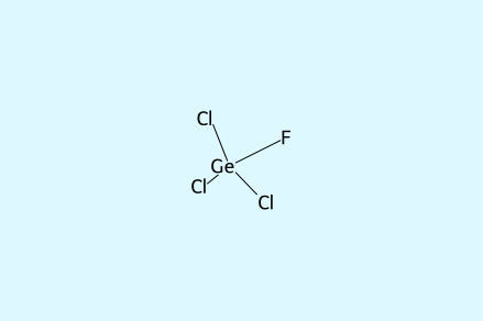 [F][Ge]([Cl])([Cl])[Cl]